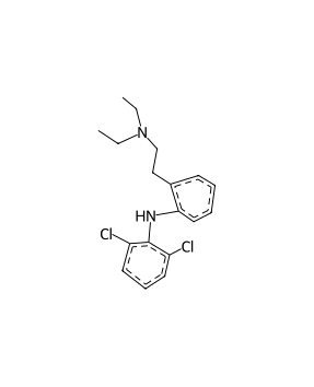 CCN(CC)CCc1ccccc1Nc1c(Cl)cccc1Cl